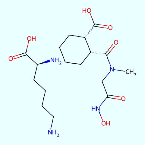 CN(CC(=O)NO)C(=O)[C@@H]1CCCC[C@@H]1C(=O)O.NCCCC[C@H](N)C(=O)O